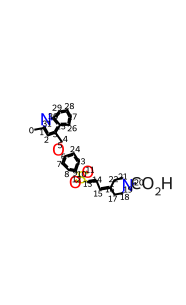 Cc1cc(COc2ccc(S(=O)(=O)C=CC=C3CCN(C(=O)O)CC3)cc2)c2ccccc2n1